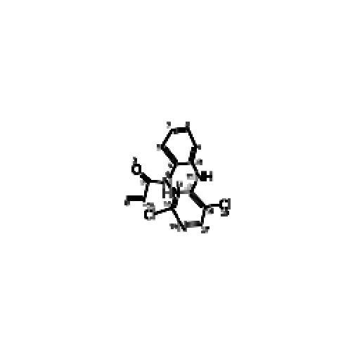 C=CC(=O)Nc1ccccc1Nc1nc(Cl)ncc1Cl